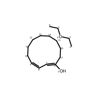 CCOCC.O/C1=C\C=C/CCCCCCCC1